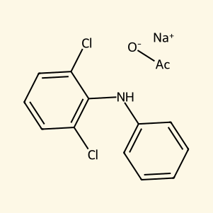 CC(=O)[O-].Clc1cccc(Cl)c1Nc1ccccc1.[Na+]